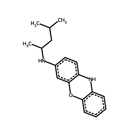 CC(C)CC(C)Nc1ccc2c(c1)Oc1ccccc1N2